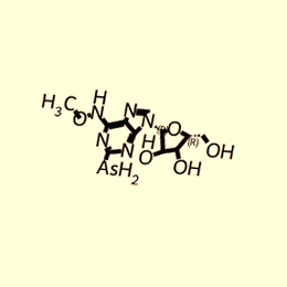 CONc1nc([AsH2])nc2c1ncn2[C@@H]1O[C@H](CO)C(O)C1O